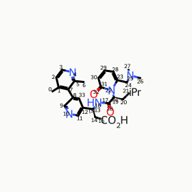 Cc1ccnc(C)c1-c1cncc([C@H](CC(=O)O)NC(=O)[C@H](CC(C)C)n2c(CN(C)C)cccc2=O)c1